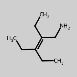 CCC(CC)=C(CC)CN